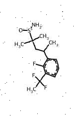 CC(CC(C)(C)[S+](N)[O-])c1cccc(C(C)(F)F)c1F